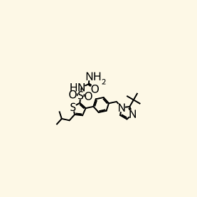 CC(C)Cc1cc(-c2ccc(Cn3ccnc3C(C)(C)C)cc2)c(S(=O)(=O)NC(N)=O)s1